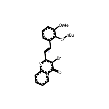 CCCCOc1c(/C=C/c2nc3ccccn3c(=O)c2Br)cccc1OC